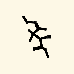 CON=C(C)C(C)(F)C(O)C(=O)OC